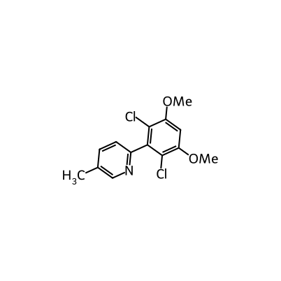 COc1cc(OC)c(Cl)c(-c2ccc(C)cn2)c1Cl